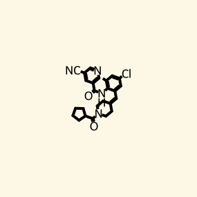 Cc1cc(Cl)cc(C=C2CCN(C(=O)C3CCCC3)CC2)c1NC(=O)c1cncc(C#N)c1